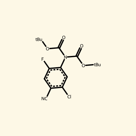 CC(C)(C)OC(=O)N(C(=O)OC(C)(C)C)c1cc(Cl)c(C#N)cc1F